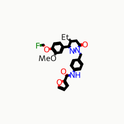 CCC1CC(=O)N(Cc2ccc(NC(=O)c3ccco3)cc2)N=C1c1ccc(OCF)c(OC)c1